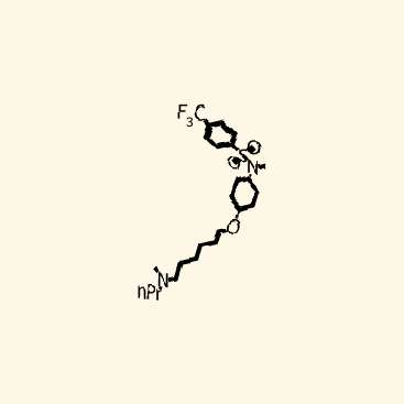 CCCN(C)CCCCCCO[C@H]1CC[C@H](N(C)S(=O)(=O)c2ccc(C(F)(F)F)cc2)CC1